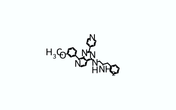 COc1cccc(-c2nccc3c(NC[C@H](N)Cc4ccccc4)nc(-c4ccncc4)nc23)c1